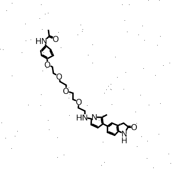 CC(=O)Nc1ccc(OCCOCCOCCOCCNc2ccc(-c3ccc4c(c3)CC(=O)N4)c(C)n2)cc1